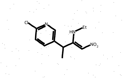 CCNC(=C[N+](=O)[O-])C(C)c1ccc(Cl)nc1